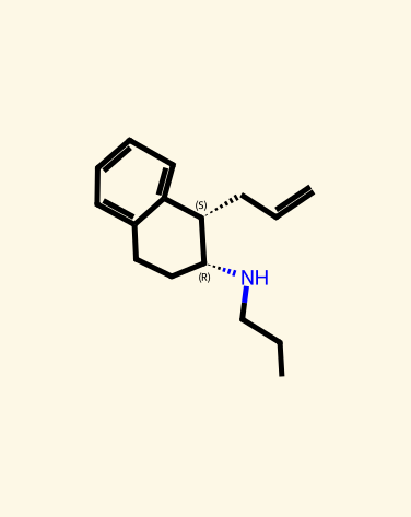 C=CC[C@H]1c2ccccc2CC[C@H]1NCCC